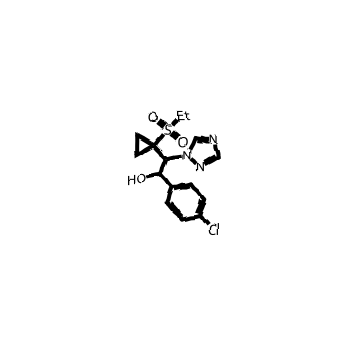 CCS(=O)(=O)C1(C(C(O)c2ccc(Cl)cc2)n2cncn2)CC1